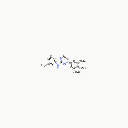 COc1cc(-c2ccnc(Nc3cccc(C)c3)n2)cc(OC)c1OC